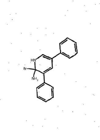 NC1(Br)NC=C(c2ccccc2)C=C1c1ccccc1